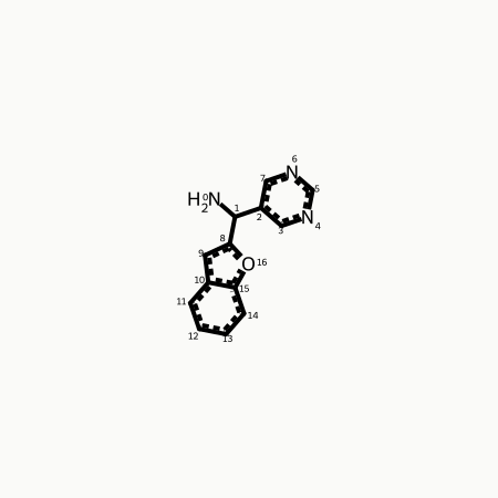 NC(c1cncnc1)c1cc2ccccc2o1